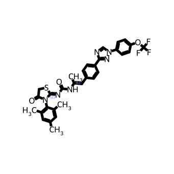 C/C(=C\c1ccc(-c2ncn(-c3ccc(OC(F)(F)F)cc3)n2)cc1)NC(=O)/N=C1\SCC(=O)N1c1c(C)cc(C)cc1C